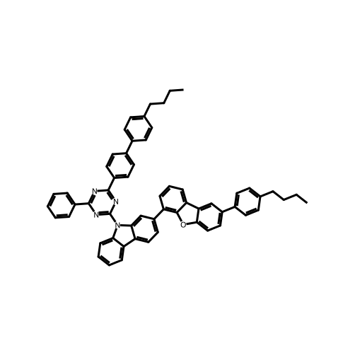 CCCCc1ccc(-c2ccc(-c3nc(-c4ccccc4)nc(-n4c5ccccc5c5ccc(-c6cccc7c6oc6ccc(-c8ccc(CCCC)cc8)cc67)cc54)n3)cc2)cc1